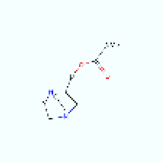 CNC(=O)[O][U][CH]1CN2CC[N]1[Y][CH2]2